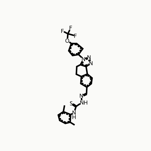 Cc1cccc(C)c1NC(=S)NN=Cc1ccc2c(c1)CCc1c-2nnn1-c1ccc(OC(F)(F)F)cc1